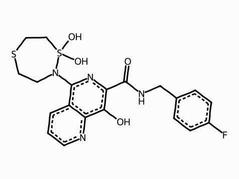 O=C(NCc1ccc(F)cc1)c1nc(N2CCSCCS2(O)O)c2cccnc2c1O